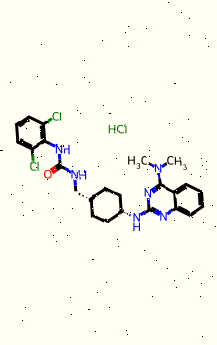 CN(C)c1nc(N[C@H]2CC[C@@H](CNC(=O)Nc3c(Cl)cccc3Cl)CC2)nc2ccccc12.Cl